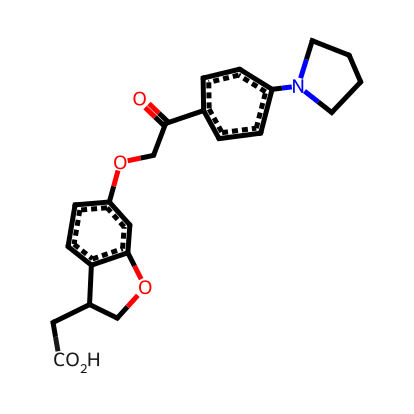 O=C(O)CC1COc2cc(OCC(=O)c3ccc(N4CCCC4)cc3)ccc21